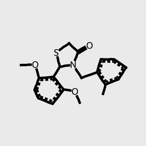 COc1cccc(OC)c1C1SCC(=O)N1Cc1ccccc1C